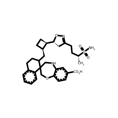 C[C@H](CCC1=NO[C@@H]([C@@H]2CC[C@@H]2CC2CCc3ccccc3C23CNc2cc(C(=O)O)ccc2OC3)C1)S(N)(=O)=O